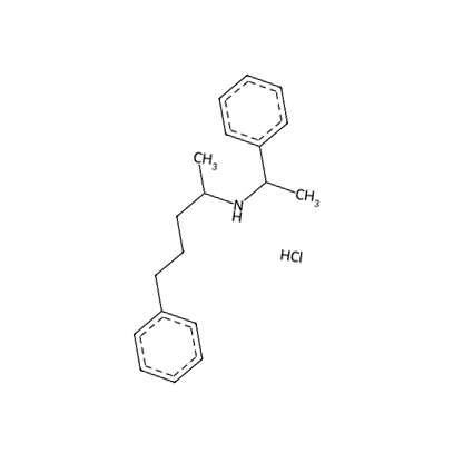 CC(CCCc1ccccc1)NC(C)c1ccccc1.Cl